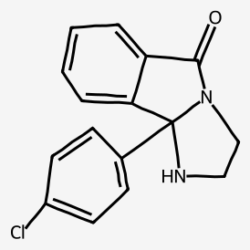 O=C1c2ccccc2C2(c3ccc(Cl)cc3)NCCN12